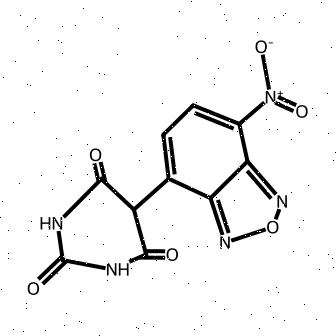 O=C1NC(=O)C(c2ccc([N+](=O)[O-])c3nonc23)C(=O)N1